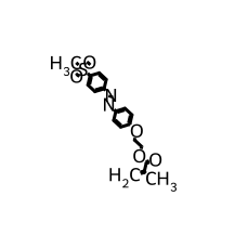 C=C(C)C(=O)OCCOc1ccc(N=Nc2ccc(S(C)(=O)=O)cc2)cc1